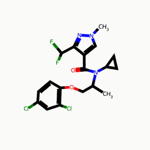 CC(COc1ccc(Cl)cc1Cl)N(C(=O)c1cn(C)nc1C(F)F)C1CC1